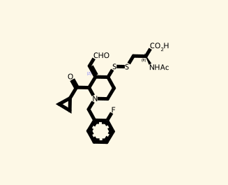 CC(=O)N[C@@H](CSSC1CCN(Cc2ccccc2F)C(C(=O)C2CC2)/C1=C/C=O)C(=O)O